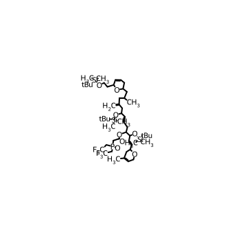 C=C(CC(C)CC1CC=CC(CCO[Si](C)(C)C(C)(C)C)O1)CC(C=CCC(OC(=O)CP(=O)(CC(F)(F)F)CC(F)(F)F)C(C=CC1CC(C)=CCO1)O[Si](C)(C)C(C)(C)C)O[Si](C)(C)C(C)(C)C